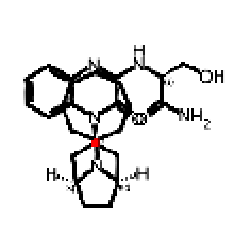 NC(=O)[C@H](CO)Nc1nc2ccccc2n([C@H]2C[C@H]3CC[C@@H](C2)N3C2CCCCCCC2)c1=O